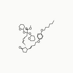 CCCCCCOc1ccc(OCC/C=C/[C@H]2CCC(=O)[C@@H]2CC=C=CCC(OC2CCCCO2)(OC2CCCCO2)C(=O)OC)cc1